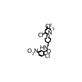 O=C(NCC1CCN(c2ncc(C(F)(F)F)cc2Cl)CC1)c1cc([N+](=O)[O-])ccc1Cl